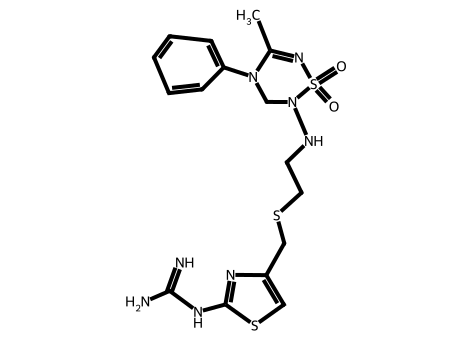 CC1=NS(=O)(=O)N(NCCSCc2csc(NC(=N)N)n2)CN1c1ccccc1